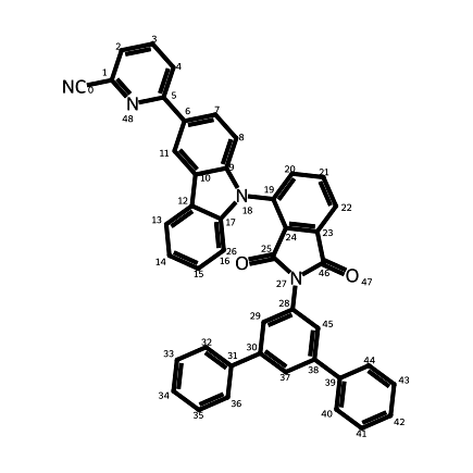 N#Cc1cccc(-c2ccc3c(c2)c2ccccc2n3-c2cccc3c2C(=O)N(c2cc(-c4ccccc4)cc(-c4ccccc4)c2)C3=O)n1